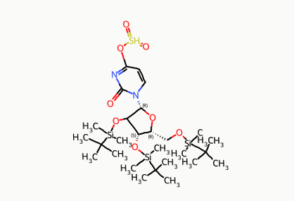 CC(C)(C)[Si](C)(C)OC[C@H]1O[C@@H](n2ccc(O[SH](=O)=O)nc2=O)C(O[Si](C)(C)C(C)(C)C)[C@H]1O[Si](C)(C)C(C)(C)C